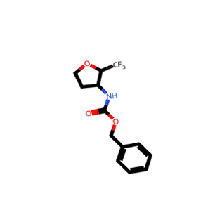 O=C(NC1CCOC1C(F)(F)F)OCc1ccccc1